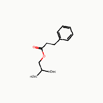 CCCCCCCCCCC(CCCCCCCCCC)COC(=O)CCc1ccccc1